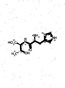 C[C@@H](O)[C@H](NC(=O)[C@@H](N)Cc1c[nH]cn1)C(=O)O